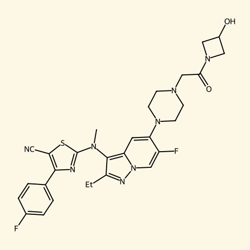 CCc1nn2cc(F)c(N3CCN(CC(=O)N4CC(O)C4)CC3)cc2c1N(C)c1nc(-c2ccc(F)cc2)c(C#N)s1